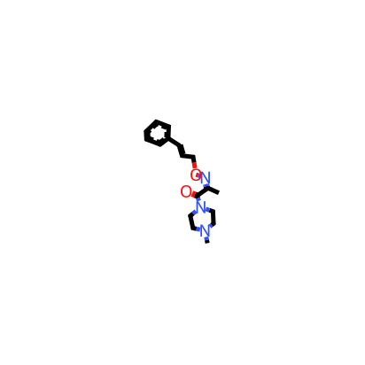 CC(=NOC/C=C/c1ccccc1)C(=O)N1CCN(C)CC1